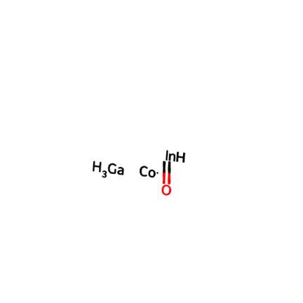 [Co].[GaH3].[O]=[InH]